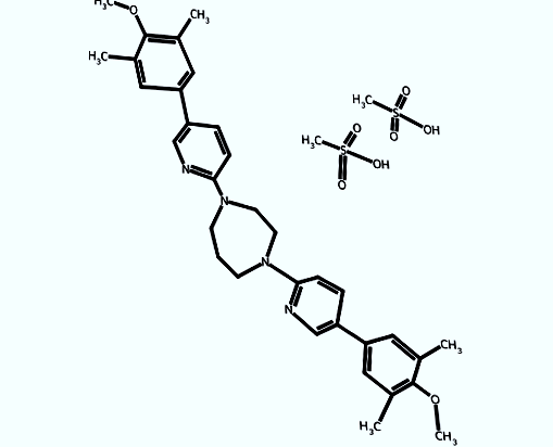 COc1c(C)cc(-c2ccc(N3CCCN(c4ccc(-c5cc(C)c(OC)c(C)c5)cn4)CC3)nc2)cc1C.CS(=O)(=O)O.CS(=O)(=O)O